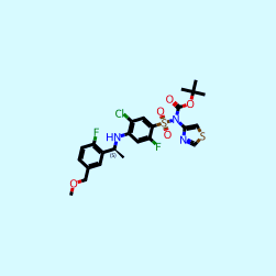 COCc1ccc(F)c([C@H](C)Nc2cc(F)c(S(=O)(=O)N(C(=O)OC(C)(C)C)c3cscn3)cc2Cl)c1